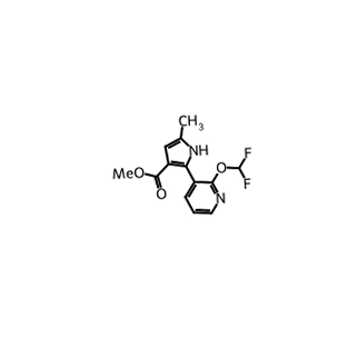 COC(=O)c1cc(C)[nH]c1-c1cccnc1OC(F)F